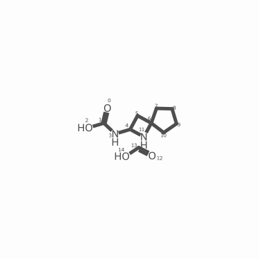 O=C(O)NC1CC2(CCCC2)N1.O=CO